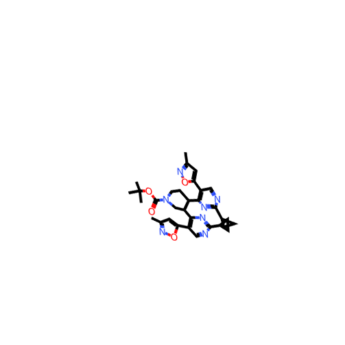 Cc1cc(-c2cnc(C3CC3)nc2C2CCN(C(=O)OC(C)(C)C)CC2c2nc(C3CC3)ncc2-c2cc(C)no2)on1